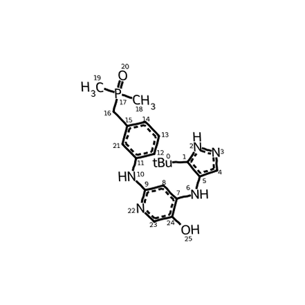 CC(C)(C)c1[nH]ncc1Nc1cc(Nc2cccc(CP(C)(C)=O)c2)ncc1O